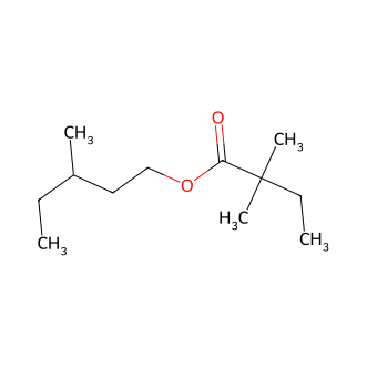 CCC(C)CCOC(=O)C(C)(C)CC